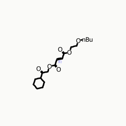 CCCCOCCOC(=O)/C=C/C(=O)OCC(=O)C1CCCCC1